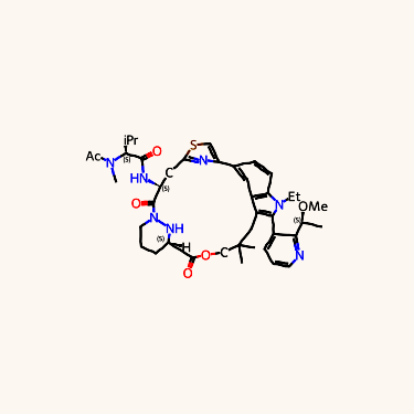 CCn1c(-c2cccnc2[C@H](C)OC)c2c3cc(ccc31)-c1csc(n1)C[C@H](NC(=O)[C@H](C(C)C)N(C)C(C)=O)C(=O)N1CCC[C@H](N1)C(=O)OCC(C)(C)C2